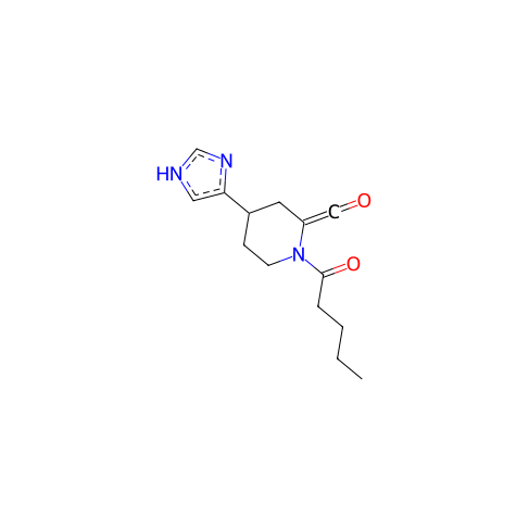 CCCCC(=O)N1CCC(c2c[nH]cn2)CC1=C=O